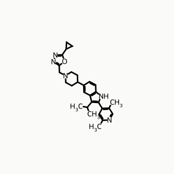 Cc1cc(-c2[nH]c3ccc(C4CCN(Cc5nnc(C6CC6)o5)CC4)cc3c2C(C)C)c(C)cn1